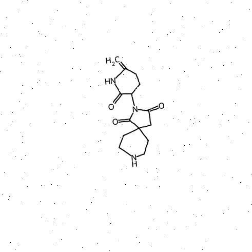 C=C1CCC(N2C(=O)CC3(CCNCC3)C2=O)C(=O)N1